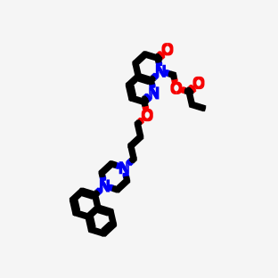 CCC(=O)OCN1C(=O)CCc2ccc(OCCCCN3CCN(c4cccc5ccccc45)CC3)nc21